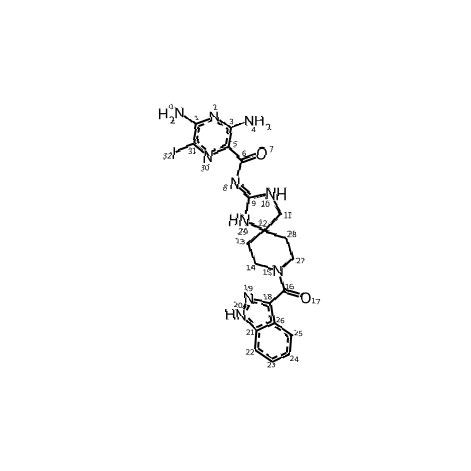 Nc1nc(N)c(C(=O)/N=C2\NCC3(CCN(C(=O)c4n[nH]c5ccccc45)CC3)N2)nc1I